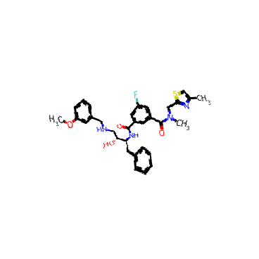 COc1cccc(CNC[C@@H](O)[C@H](Cc2ccccc2)NC(=O)c2cc(F)cc(C(=O)N(C)Cc3nc(C)cs3)c2)c1